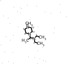 CCN(CC)C(C)N1CCN(C)CC1